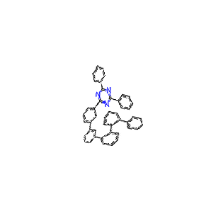 c1ccc(-c2nc(-c3ccccc3)nc(-c3cccc(-c4cccc(-c5ccccc5-c5ccccc5-c5ccccc5)c4)c3)n2)cc1